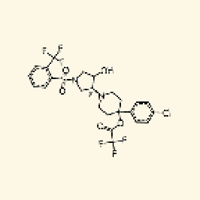 O=C(OC1(c2ccc(Cl)cc2)CCN([C@H]2CN(S(=O)(=O)c3ccccc3C(F)(F)F)CC2O)CC1)C(F)(F)F